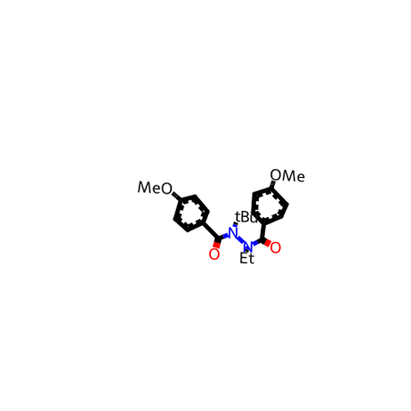 CCN(C(=O)c1ccc(OC)cc1)N(C(=O)c1ccc(OC)cc1)C(C)(C)C